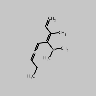 C=C/C(C)=C(\C=C=CCC)N(C)C